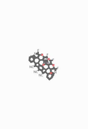 N#CC1=C(c2ccccc2)C(C(c2c(F)c(F)nc(F)c2F)c2c(F)c(F)nc(F)c2F)c2c(C#N)c3c(c(C#N)c21)C(C#N)=C(c1ccccc1)C3C(c1c(F)c(F)nc(F)c1F)c1c(F)c(F)nc(F)c1F